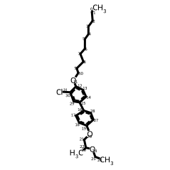 CCCCCCCCCCCOc1ccc(-c2ccc(OCC(C)OCC)cc2)cc1Cl